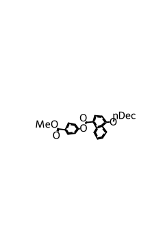 CCCCCCCCCCOc1ccc(C(=O)Oc2ccc(C(=O)OC)cc2)c2ccccc12